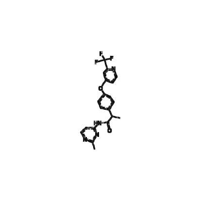 Cc1nccc(NC(=O)C(C)c2ccc(Oc3ccnc(C(F)(F)F)c3)cc2)n1